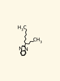 CCCCCCCC(CCCC)c1cnc2ccccc2n1